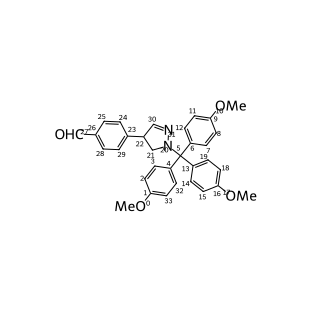 COc1ccc(C(c2ccc(OC)cc2)(c2ccc(OC)cc2)N2CC(c3ccc(C=O)cc3)C=N2)cc1